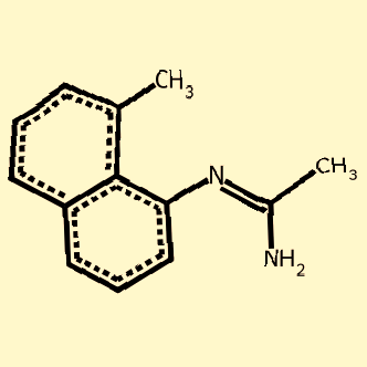 C/C(N)=N/c1cccc2cccc(C)c12